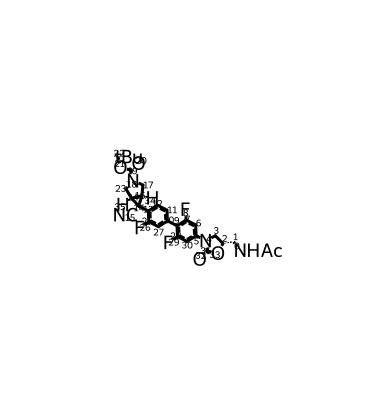 CC(=O)NC[C@H]1CN(c2cc(F)c(-c3ccc([C@@]4(C#N)[C@@H]5CN(C(=O)OC(C)(C)C)C[C@@H]54)c(F)c3)c(F)c2)C(=O)O1